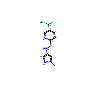 Cn1cc(NCc2ccc(C(F)F)cn2)cn1